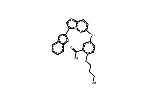 O=C(O)c1cc(Nc2ccc3ncc(-c4cc5ccccc5s4)n3n2)ccc1OCCCO